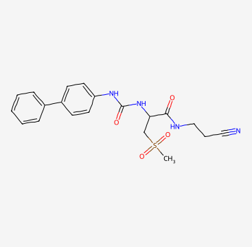 CS(=O)(=O)CC(NC(=O)Nc1ccc(-c2ccccc2)cc1)C(=O)NCCC#N